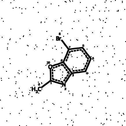 Cc1nc2cccc(Br)c2o1